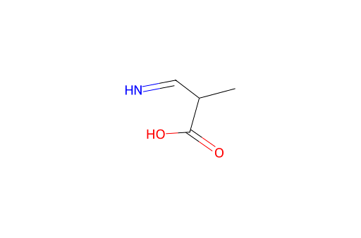 CC(C=N)C(=O)O